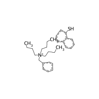 CCCC[N+](CCCC)(CCCC)Cc1ccccc1.Sc1cccc2ccccc12